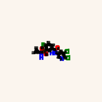 O=C(Nc1cnc(Cl)c(Cl)c1)c1ccc(F)c(S(=O)(=O)NC2CC2)c1